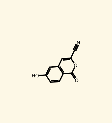 N#Cc1cc2cc(O)ccc2c(=O)o1